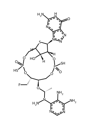 C[C@@H](O[C@@H]1COP(=O)(S)O[C@@H]2[C@H](O)[C@@H](COP(=O)(S)O[C@H]1CF)S[C@H]2n1nnc2c(=O)[nH]c(N)nc21)N(N)c1ncnc(N)c1N